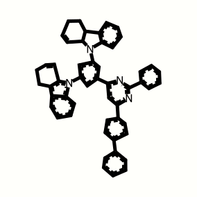 C1=Cc2c(c3ccccc3n2-c2cc(-c3cc(-c4ccc(-c5ccccc5)cc4)nc(-c4ccccc4)n3)cc(N3c4ccccc4C4CCC=CC43)c2)CC1